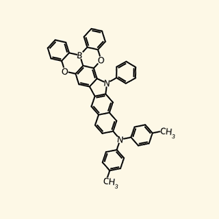 Cc1ccc(N(c2ccc(C)cc2)c2ccc3cc4c5cc6c7c(c5n(-c5ccccc5)c4cc3c2)Oc2ccccc2B7c2ccccc2O6)cc1